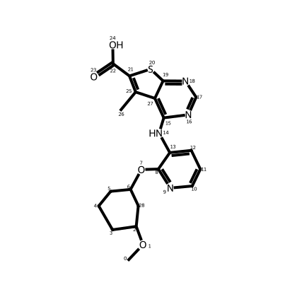 COC1CCCC(Oc2ncccc2Nc2ncnc3sc(C(=O)O)c(C)c23)C1